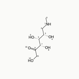 CNC[C@H](O)[C@@H](O)[C@H](O)C(=O)CO